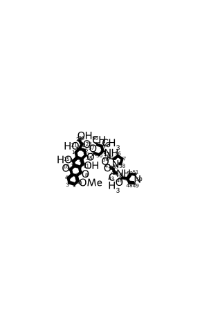 COc1cccc2c1C(=O)c1c(O)c3c(c(O)c1C2=O)C[C@@](O)(C(=O)CO)C[C@@H]3O[C@H]1C[C@H](NC(=O)[C@@H]2CCCN2C(=O)[C@@H](C)NC(=O)c2ccncc2)[C@H](C)[C@H](C)O1